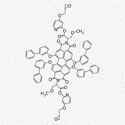 COCC(C(=O)Oc1cc(OCC2CO2)ccn1)N1C(=O)c2cc(Oc3cccc(-c4ccccc4)c3)c3c4c(Oc5cccc(-c6ccccc6)c5)cc5c6c(cc(Oc7cccc(-c8ccccc8)c7)c(c7c(Oc8cccc(-c9ccccc9)c8)cc(c2c37)C1=O)c64)C(=O)N(C(COC)C(=O)Oc1cc(OCC2CO2)ccn1)C5=O